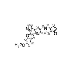 COc1ccc(Cn2c(=O)n3ncnc3c3cc(CN4CCN5C(=O)OCC5C4)cnc32)cc1